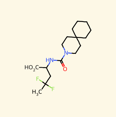 CC(F)(F)CC(NC(=O)N1CCC2(CCCCC2)CC1)C(=O)O